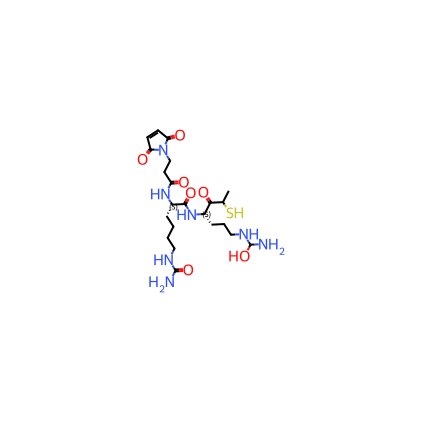 CC(S)C(=O)[C@H](CCCNC(N)O)NC(=O)[C@H](CCCCNC(N)=O)NC(=O)CCN1C(=O)C=CC1=O